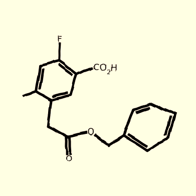 Cc1cc(F)c(C(=O)O)cc1CC(=O)OCc1ccccc1